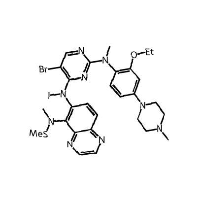 CCOc1cc(N2CCN(C)CC2)ccc1N(C)c1ncc(Br)c(N(I)c2ccc3nccnc3c2N(C)SC)n1